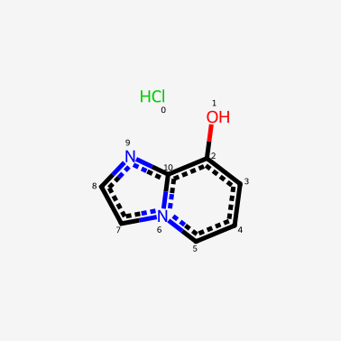 Cl.Oc1cccn2ccnc12